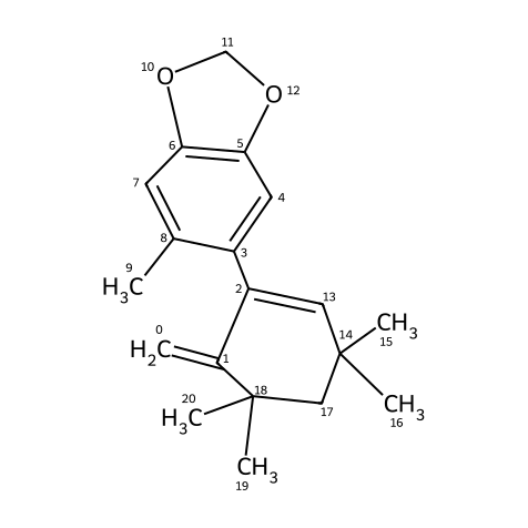 C=C1C(c2cc3c(cc2C)OCO3)=CC(C)(C)CC1(C)C